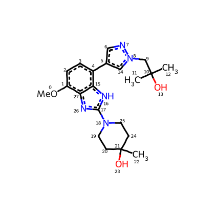 COc1ccc(-c2cnn(CC(C)(C)O)c2)c2[nH]c(N3CCC(C)(O)CC3)nc12